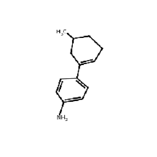 CC1CCC=C(c2ccc(N)cc2)C1